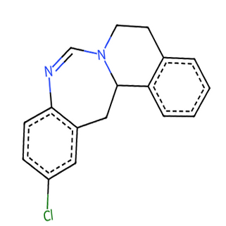 Clc1ccc2c(c1)CC1c3ccccc3CCN1C=N2